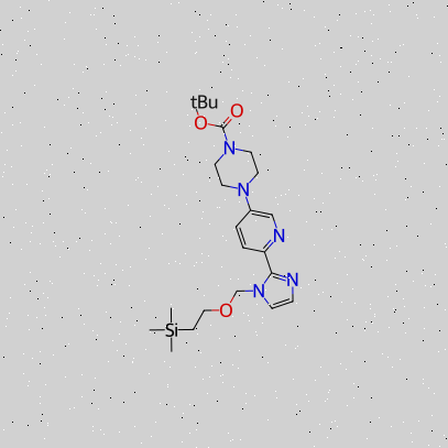 CC(C)(C)OC(=O)N1CCN(c2ccc(-c3nccn3COCC[Si](C)(C)C)nc2)CC1